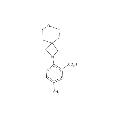 Cc1ccc(N2CC3(CCOCC3)C2)c(C(=O)O)c1